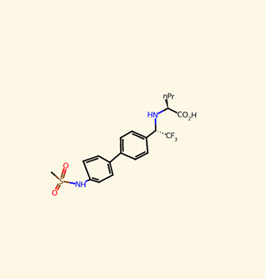 CCC[C@H](N[C@@H](c1ccc(-c2ccc(NS(C)(=O)=O)cc2)cc1)C(F)(F)F)C(=O)O